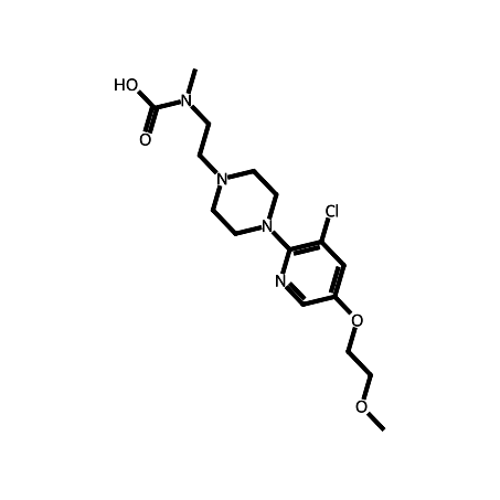 COCCOc1cnc(N2CCN(CCN(C)C(=O)O)CC2)c(Cl)c1